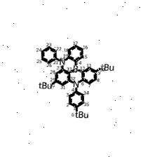 CC(C)(C)c1ccc(N2c3ccc(C(C)(C)C)cc3B3c4ccccc4N(c4ccccc4)c4cc(C(C)(C)C)cc2c43)cc1